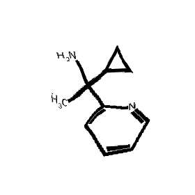 CC(N)(c1ccccn1)C1CC1